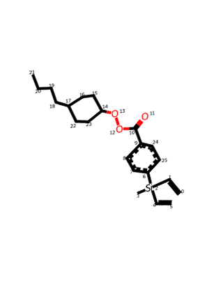 C=C[Si](C)(C=C)c1ccc(C(=O)OO[C]2CCC(CCCC)CC2)cc1